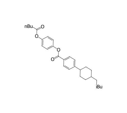 CCCCC(=O)Oc1ccc(OC(=O)c2ccc(C3CCC(CC(C)CC)CC3)cc2)cc1